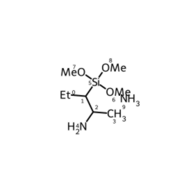 CCC(C(C)N)[Si](OC)(OC)OC.N